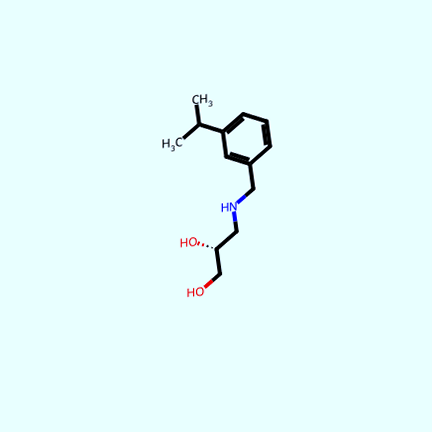 CC(C)c1cccc(CNC[C@@H](O)CO)c1